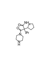 CC(C)C(C(N)=O)(C(=O)N1CCNCC1)C1CCCC1